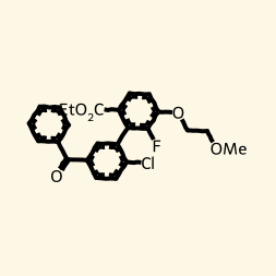 CCOC(=O)c1ccc(OCCOC)c(F)c1-c1cc(C(=O)c2ccccc2)ccc1Cl